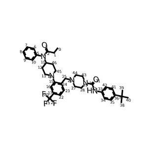 CCC(=O)N(c1ccccc1)C1CCN(c2cc(C(F)(F)F)ccc2CN2CCN(C(=O)Nc3ccc(C(C)(C)C)cc3)CC2)CC1